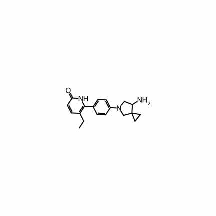 CCc1ccc(=O)[nH]c1-c1ccc(N2CC(N)C3(CC3)C2)cc1